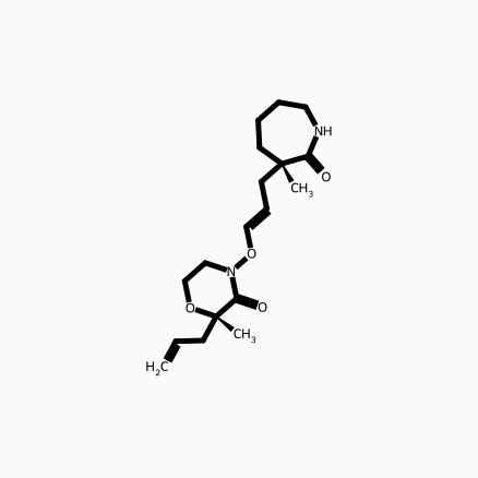 C=CC[C@]1(C)OCCN(O/C=C/C[C@]2(C)CCCCNC2=O)C1=O